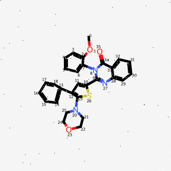 COc1ccccc1-n1c(-c2cc(-c3ccccc3)c(N3CCOCC3)s2)nc2ccccc2c1=O